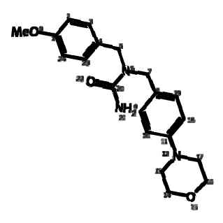 COc1ccc(CN(Cc2ccc(N3CCOCC3)cc2)C(N)=O)cc1